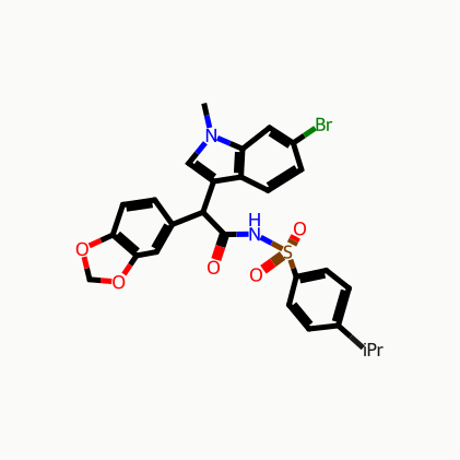 CC(C)c1ccc(S(=O)(=O)NC(=O)C(c2ccc3c(c2)OCO3)c2cn(C)c3cc(Br)ccc23)cc1